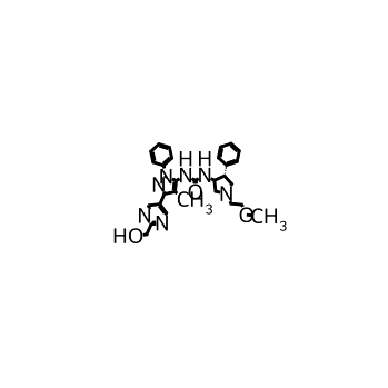 COCCN1CC(NC(=O)Nc2c(C)c(-c3cnc(CO)nc3)nn2-c2ccccc2)[C@H](c2ccccc2)C1